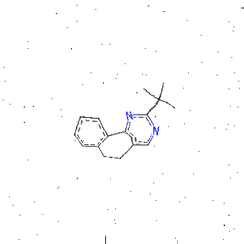 CC(C)(C)c1ncc2c(n1)-c1ccccc1CC2